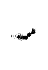 Cc1noc(NC(=O)N2CCC3(CC2)C[C@H](c2ccc(OCc4ccc(F)c(F)c4)cc2)CO3)c1C